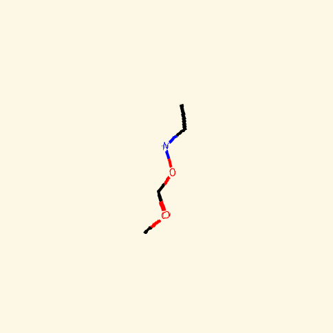 CC[N]OCOC